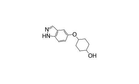 OC1CCC(Oc2ccc3[nH]ncc3c2)CC1